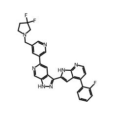 Fc1ccccc1-c1ccnc2[nH]c(-c3n[nH]c4cnc(-c5cncc(CN6CCC(F)(F)C6)c5)cc34)cc12